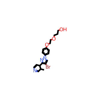 CC1C=NC=CC1c1nn(-c2ccc(OCCOCCCO)cc2)cc1Br